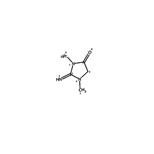 CCCN1C(=N)N(C)CC1=O